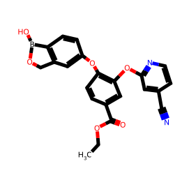 CCOC(=O)c1ccc(Oc2ccc3c(c2)COB3O)c(Oc2cc(C#N)ccn2)c1